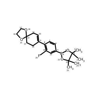 CC1(C)OB(c2ccc(C3=CCC4(CC3)OCCO4)c(F)c2)OC1(C)C